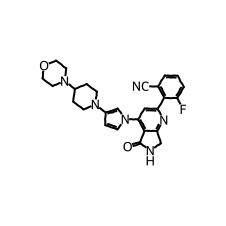 N#Cc1cccc(F)c1-c1cc(-n2ccc(N3CCC(N4CCOCC4)CC3)c2)c2c(n1)CNC2=O